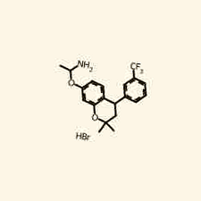 Br.CC(N)Oc1ccc2c(c1)OC(C)(C)CC2c1cccc(C(F)(F)F)c1